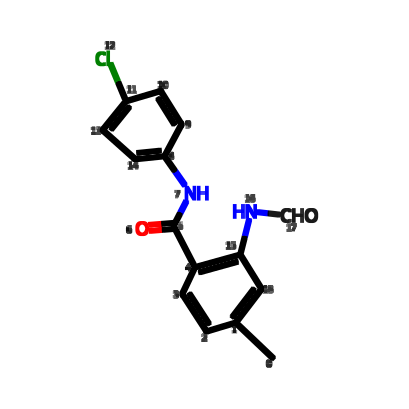 Cc1ccc(C(=O)Nc2ccc(Cl)cc2)c(NC=O)c1